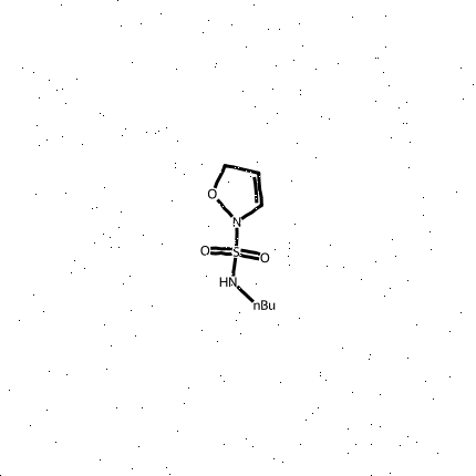 CCCCNS(=O)(=O)N1C=CCO1